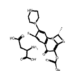 C[C@@H]1Sc2c(OC(=O)O)c(=O)c3cc(F)c(N4CCNCC4)cc3n21.NC(CC(=O)O)C(=O)O